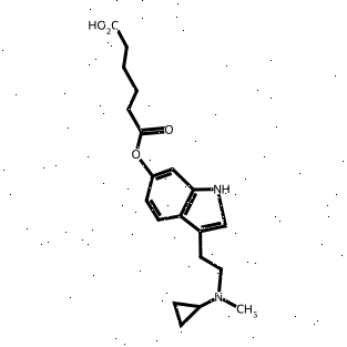 CN(CCc1c[nH]c2cc(OC(=O)CCCCC(=O)O)ccc12)C1CC1